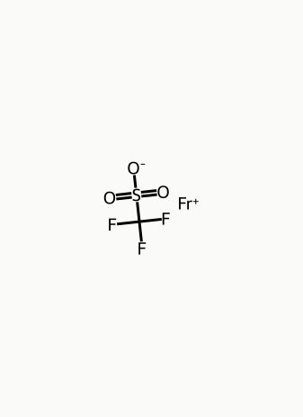 O=S(=O)([O-])C(F)(F)F.[Fr+]